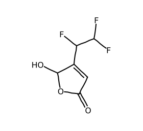 O=C1C=C(C(F)C(F)F)C(O)O1